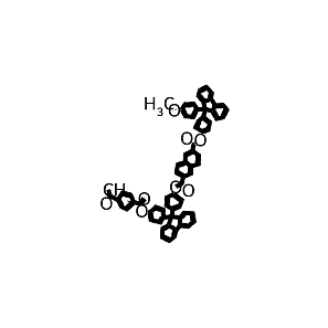 COc1ccc(C2(c3ccc(OC(=O)c4ccc5cc(C(=O)Oc6ccc(C7(c8ccc(OC(=O)c9ccc(C(C)=O)cc9)cc8)c8ccccc8-c8ccccc87)cc6)ccc5c4)cc3)c3ccccc3-c3ccccc32)cc1